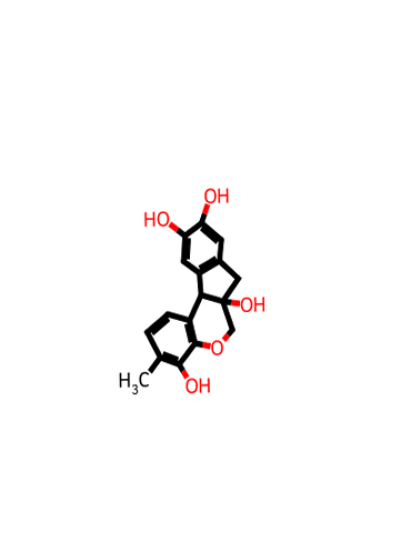 Cc1ccc2c(c1O)OCC1(O)Cc3cc(O)c(O)cc3C21